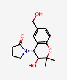 CC1(C)Oc2ccc(CO)cc2[C@@H](N2CCCC2=O)[C@@H]1O